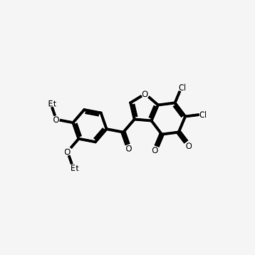 CCOc1ccc(C(=O)c2coc3c2C(=O)C(=O)C(Cl)=C3Cl)cc1OCC